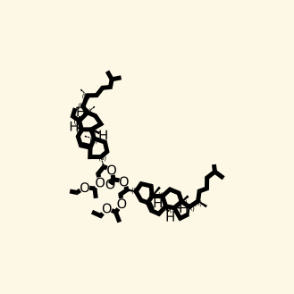 CCOC(C)OCC(OC(=O)OC(COC(C)OCC)[C@H]1CC[C@@]2(C)C(=CC[C@H]3[C@@H]4CC[C@H]([C@H](C)CCCC(C)C)[C@@]4(C)CC[C@@H]32)C1)[C@H]1CC[C@@]2(C)C(=CC[C@H]3[C@@H]4CC[C@H]([C@H](C)CCCC(C)C)[C@@]4(C)CC[C@@H]32)C1